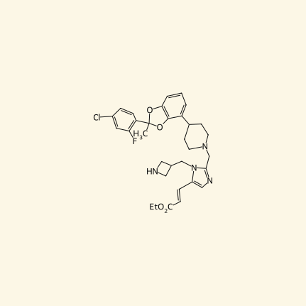 CCOC(=O)/C=C/c1cnc(CN2CCC(c3cccc4c3OC(C)(c3ccc(Cl)cc3F)O4)CC2)n1CC1CNC1